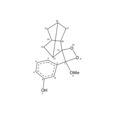 COC1(c2cccc(O)c2)OOC12C1CC3CC1CC32